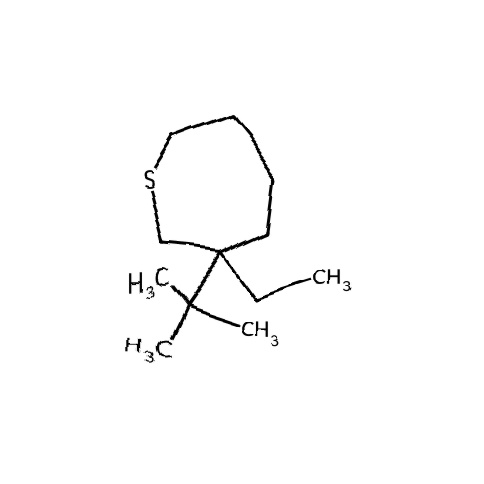 CCC1(C(C)(C)C)CCCCSC1